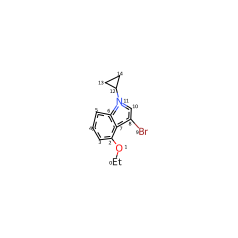 CCOc1c[c]cc2c1c(Br)cn2C1CC1